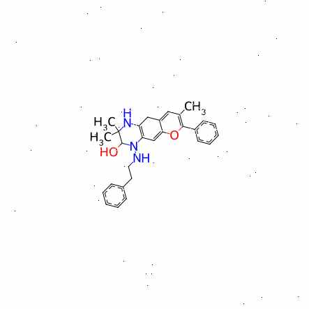 CC1=C(c2ccccc2)OC2=CC3=C(CC2=C1)NC(C)(C)C(O)N3NCCc1ccccc1